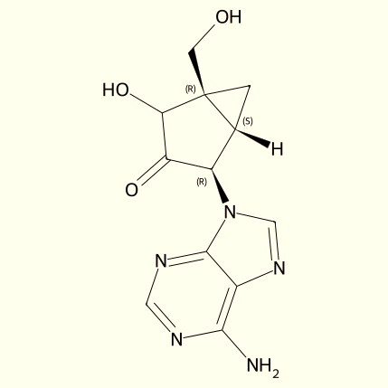 Nc1ncnc2c1ncn2[C@H]1C(=O)C(O)[C@]2(CO)C[C@H]12